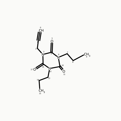 C#CCn1c(=O)n(CCC)c(=O)n(CCC)c1=O